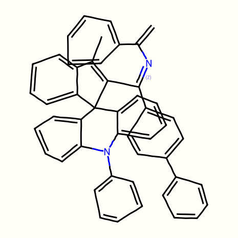 C=C(/N=C(\C1=C(C)c2ccccc2C12c1ccccc1N(c1ccccc1)c1ccccc12)c1ccc(-c2ccccc2)cc1)c1ccccc1